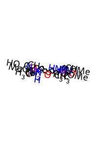 COC(=O)N[C@H](C(=O)N1[C@@H](C)CC[C@H]1c1nc(C)c(-c2ccc3c(c2)COc2cc4c(ccc5nc([C@@H]6CC[C@H](C)N6C(=O)[C@H]([C@@H](C)OC)N(C)C(=O)O)[nH]c54)cc2-3)[nH]1)[C@@H](C)OC